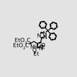 CCOC(=O)C(Cc1c(OCC)noc1-c1ncn(C(c2ccccc2)(c2ccccc2)c2ccccc2)n1)(NC(C)=O)C(=O)OCC